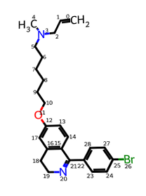 C=CCN(C)CCCCCCOc1ccc2c(c1)CCN=C2c1ccc(Br)cc1